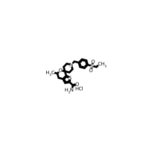 CCS(=O)(=O)c1ccc(CN2CCC3(CC2)OC(C)Cc2cc(C(N)=O)sc23)cc1.Cl